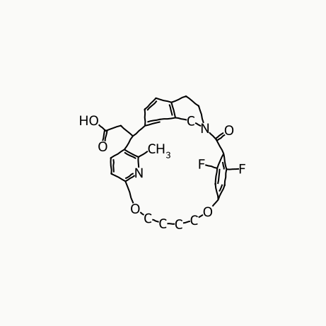 Cc1nc2ccc1C(CC(=O)O)c1ccc3c(c1)CN(CC3)C(=O)c1c(F)cc(cc1F)OCCCCO2